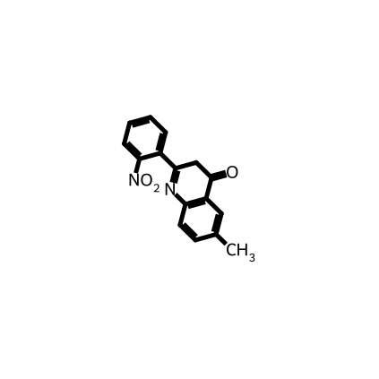 Cc1ccc2c(c1)C(=O)CC(c1ccccc1[N+](=O)[O-])=N2